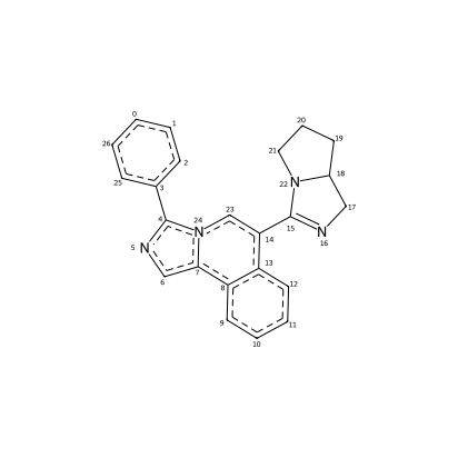 c1ccc(-c2ncc3c4ccccc4c(C4=NCC5CCCN45)cn23)cc1